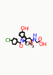 Cc1c(CC(=O)NCC(=O)O)c2cc(O)ccc2n1C(=O)c1ccc(Cl)cc1